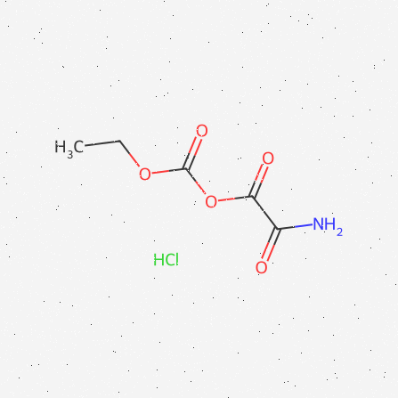 CCOC(=O)OC(=O)C(N)=O.Cl